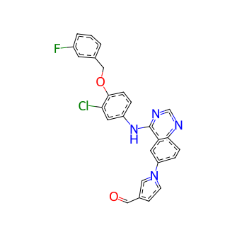 O=Cc1ccn(-c2ccc3ncnc(Nc4ccc(OCc5cccc(F)c5)c(Cl)c4)c3c2)c1